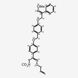 C=CCON=C(CC(=O)O)c1ccc(OCc2ccc(OCC(=NOC)c3ccccc3)cc2)cc1